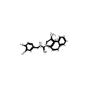 CC1CN(C(=N)NCc2ccc(F)c(F)c2)c2ccc3ccccc3c21